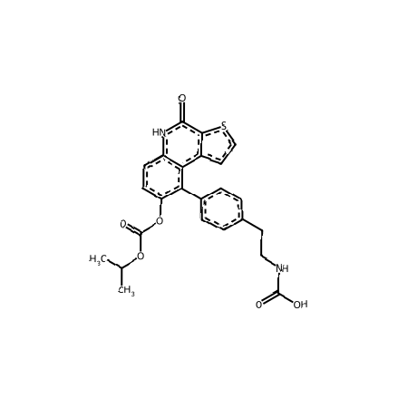 CC(C)OC(=O)Oc1ccc2[nH]c(=O)c3sccc3c2c1-c1ccc(CCNC(=O)O)cc1